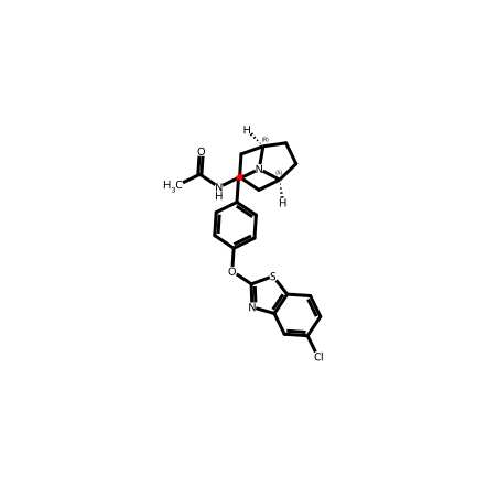 CC(=O)NC1C[C@H]2CC[C@@H](C1)N2Cc1ccc(Oc2nc3cc(Cl)ccc3s2)cc1